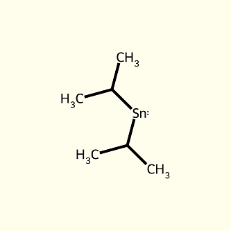 C[CH](C)[Sn][CH](C)C